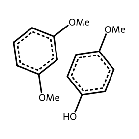 COc1ccc(O)cc1.COc1cccc(OC)c1